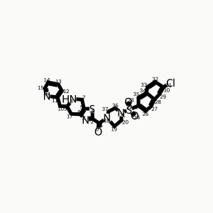 O=C(c1nc2c(s1)CNC(Cc1ccccn1)C2)N1CCN(S(=O)(=O)c2ccc3cc(Cl)ccc3c2)CC1